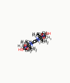 CC(C)c1cc(O)cc(C(C)C)c1-n1c(=O)c2c3cc(C(C)(C)C)cc4c5nc6cc7ccc8cc9nc%10c%11cc(C(C)(C)C)cc%12c%13c(=O)n(-c%14c(C(C)C)cc(O)cc%14C(C)C)c(=O)c%13c%13cc(C(C)(C)C)cc(c%10nc9cc8ccc7cc6nc5c5cc(C(C)(C)C)cc(c2c1=O)c5c43)c%13c%11%12